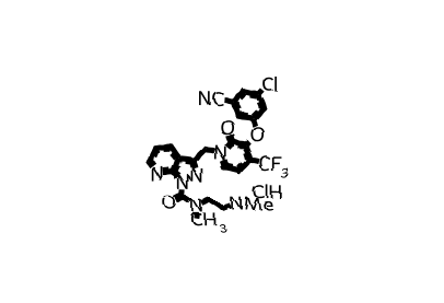 CNCCN(C)C(=O)n1nc(Cn2ccc(C(F)(F)F)c(Oc3cc(Cl)cc(C#N)c3)c2=O)c2cccnc21.Cl